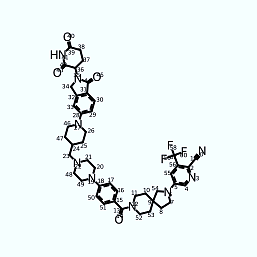 N#Cc1ncc(N2CCC3(CCN(C(=O)c4ccc(N5CCN(CC6CCN(c7ccc8c(c7)CN(C7CCC(=O)NC7=O)C8=O)CC6)CC5)cc4)CC3)C2)cc1C(F)(F)F